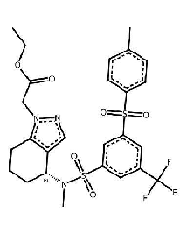 CCOC(=O)Cn1ncc2c1CCC[C@H]2N(C)S(=O)(=O)c1cc(C(F)(F)F)cc(S(=O)(=O)c2ccc(C)cc2)c1